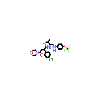 CC(C)C(CNc1ccc(OC(F)(F)F)cc1)NC(=O)C(CC(=O)N1CCOCC1)c1ccc(Cl)cc1